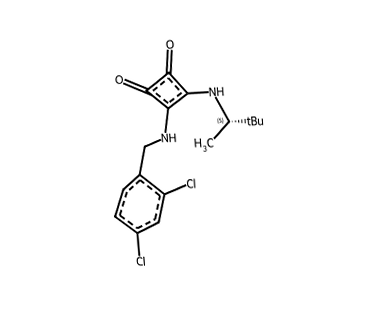 C[C@H](Nc1c(NCc2ccc(Cl)cc2Cl)c(=O)c1=O)C(C)(C)C